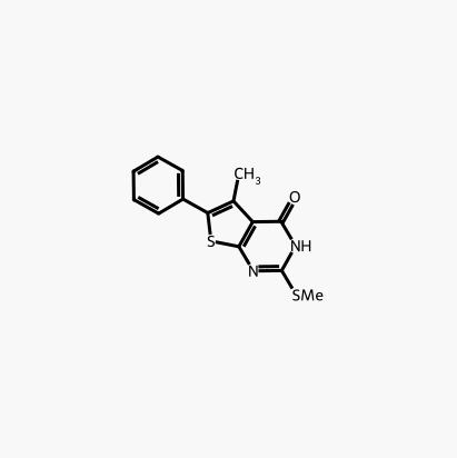 CSc1nc2sc(-c3ccccc3)c(C)c2c(=O)[nH]1